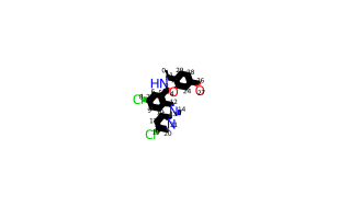 C[C@H](NC(=O)c1cc(Cl)ccc1CN(C)c1ccc(Cl)cn1)c1ccc(C=O)cc1